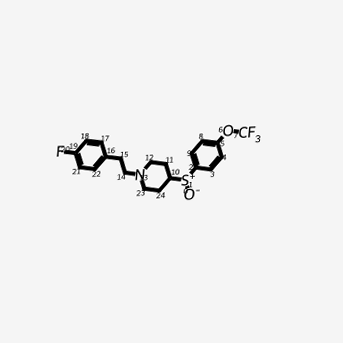 [O-][S+](c1ccc(OC(F)(F)F)cc1)C1CCN(CCc2ccc(F)cc2)CC1